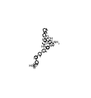 C=CC(=O)Nc1cc(Nc2nc(-c3ccnc(N4CCc5c(sc6c5CCCC6(C)C)C4=O)c3CO)cnc2C(N)=O)ccc1N1CCN(C2CCN(c3ccnc(C4CCC(C)(OP(=O)(O)O)CC4)c3)[C@H](C)C2)C[C@@H]1C